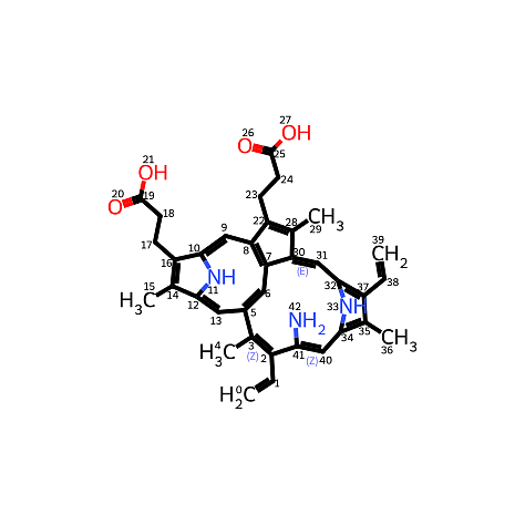 C=CC1=C(\C)c2cc3c(cc4[nH]c(c2)c(C)c4CCC(=O)O)C(CCC(=O)O)=C(C)/C3=C/c2[nH]c(c(C)c2C=C)\C=C\1N